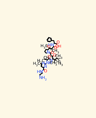 CC[C@H](C)[C@@H]([C@@H](CC(=O)N1CCCC1[C@H](OC)[C@@H](C)C(=O)NC(Cc1ccccc1)C(=O)O)OC)N(C)C(=O)C(Nc1nc(C)cc(C(=O)NCCN)n1)C(C)C